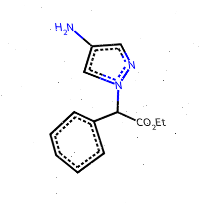 CCOC(=O)C(c1ccccc1)n1cc(N)cn1